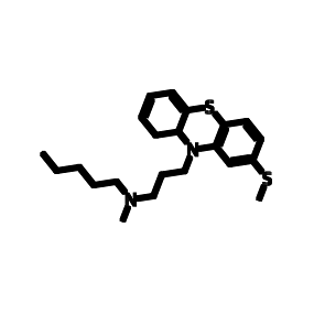 CCCCCN(C)CCCN1c2cc(SC)ccc2SC2=CC=CCC21